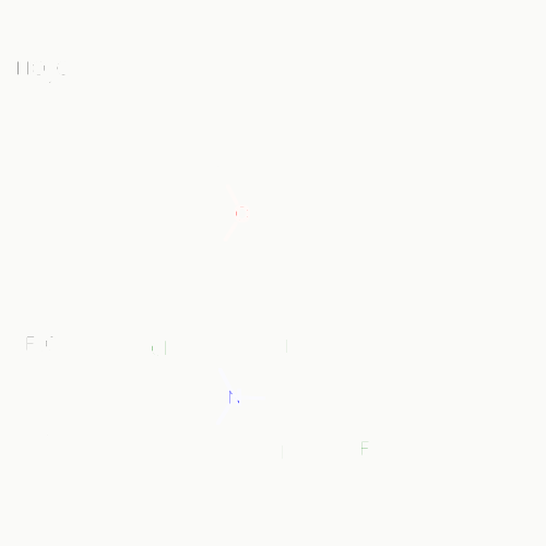 O=C(O)Cc1cccc(OCCCN(Cc2cccc(C(F)(F)F)c2Cl)C(F)(F)C(F)Cc2ccccc2)c1